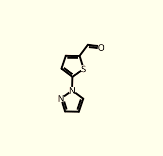 O=Cc1ccc(-n2cccn2)s1